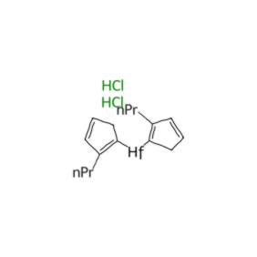 CCCC1=[C]([Hf][C]2=C(CCC)C=CC2)CC=C1.Cl.Cl